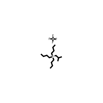 CCCC[P+](CCCC)(CCCC)CC(C)C.F[B-](F)(F)F